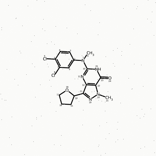 CN(c1ccc(Cl)c(Cl)c1)c1nc2c(C3CCCO3)nn(C)c2c(=O)[nH]1